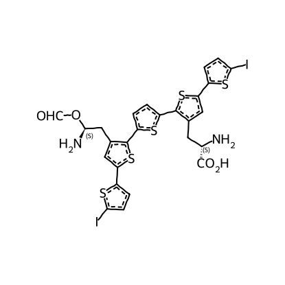 N[C@H](Cc1cc(-c2ccc(I)s2)sc1-c1ccc(-c2sc(-c3ccc(I)s3)cc2C[C@H](N)C(=O)O)s1)OC=O